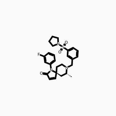 C[C@@H]1C[C@]2(C=CC(=O)N2c2cccc(F)c2)CCN1Cc1cccc(S(=O)(=O)N2CCCC2)c1